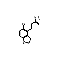 NC(=O)CCc1c(Br)ccc2c1CCO2